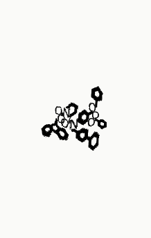 O=C(OCc1ccccc1)c1ccc(N(Cc2ccc(C3CCCCC3)cc2)C(=O)[C@H]2CCCCN2C(=O)OCC2c3ccccc3-c3ccccc32)cc1OCc1ccccc1